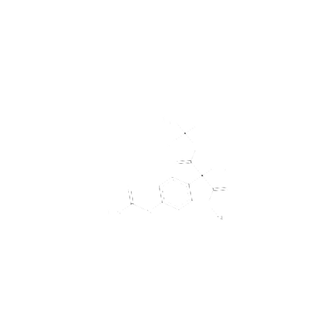 CC(C)(C)OC(=O)C(C)(C(=O)ON)c1ccc(NC(N)=S)cc1